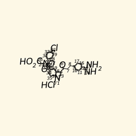 Cl.Cn1cc(C(=O)CCc2ccc(C(=N)N)cc2)c2cc(S(=O)(=O)N(CC(=O)O)c3ccc(Cl)cc3)ccc21